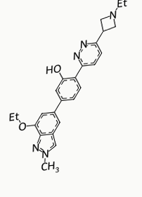 CCOc1cc(-c2ccc(-c3ccc(C4CN(CC)C4)nn3)c(O)c2)cc2cn(C)nc12